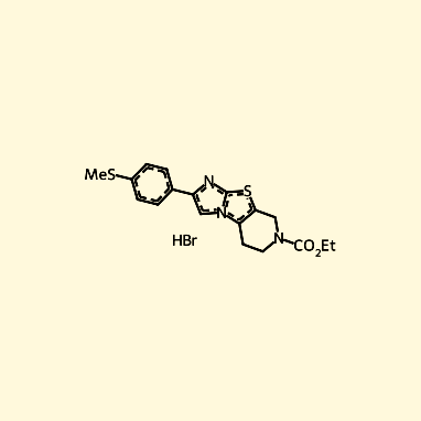 Br.CCOC(=O)N1CCc2c(sc3nc(-c4ccc(SC)cc4)cn23)C1